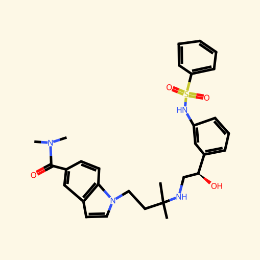 CN(C)C(=O)c1ccc2c(ccn2CCC(C)(C)NC[C@H](O)c2cccc(NS(=O)(=O)c3ccccc3)c2)c1